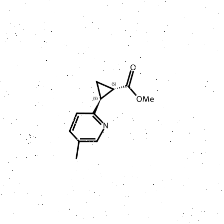 COC(=O)[C@H]1C[C@@H]1c1ccc(C)cn1